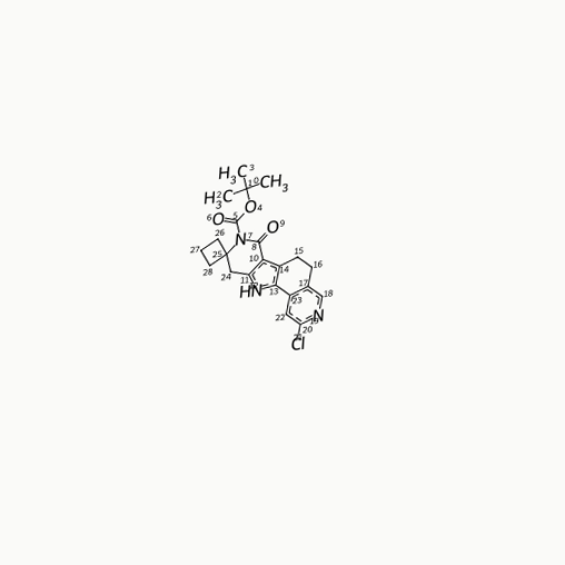 CC(C)(C)OC(=O)N1C(=O)c2c([nH]c3c2CCc2cnc(Cl)cc2-3)CC12CCC2